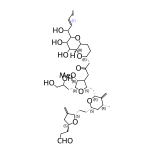 C=C1C[C@H](CCC=O)O[C@H]1CC[C@H]1C[C@@H](C)C(=C)[C@@H](C[C@@H]2O[C@H](CC(O)CO)[C@H](OC)C2CC(=O)C[C@H]2CCC3OC(C(O)/C=C/I)C(O)C(O)[C@H]3O2)O1